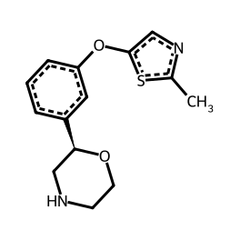 Cc1ncc(Oc2cccc([C@@H]3CNCCO3)c2)s1